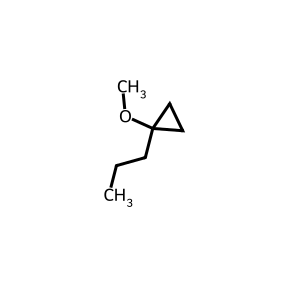 CCCC1(OC)CC1